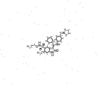 CCONS(=O)(=O)c1cc2c(cc1C)NC(=O)/C2=C(\Nc1ccc(CN2CCCC2)cc1)c1ccccc1